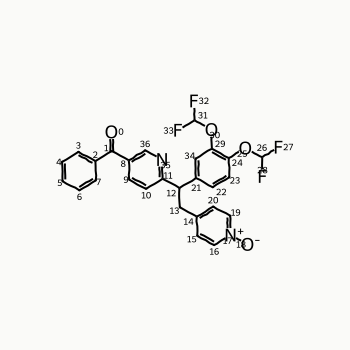 O=C(c1ccccc1)c1ccc(C(Cc2cc[n+]([O-])cc2)c2ccc(OC(F)F)c(OC(F)F)c2)nc1